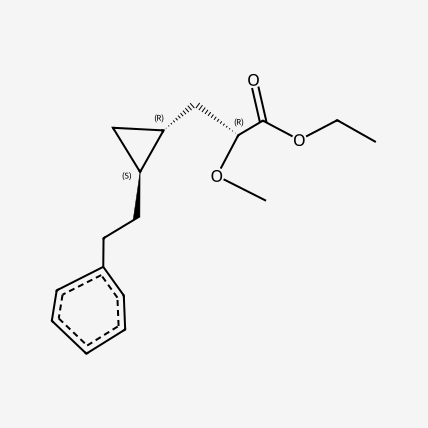 CCOC(=O)[C@@H](C[C@H]1C[C@@H]1CCc1ccccc1)OC